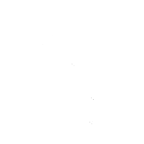 O=S(=O)(c1ccccc1Br)n1cc(C(F)F)c2c(N3CCNCC3)cccc21